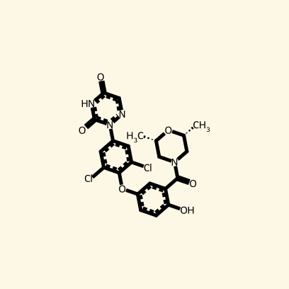 C[C@@H]1CN(C(=O)c2cc(Oc3c(Cl)cc(-n4ncc(=O)[nH]c4=O)cc3Cl)ccc2O)C[C@H](C)O1